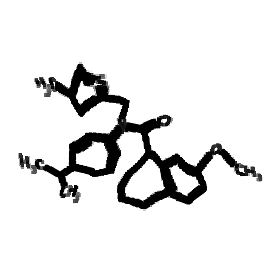 COc1ccc2c(c1)C(C(=O)N(Cc1cc(C)cs1)c1ccc(C(C)C)cc1)CCC2